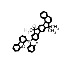 CC1(C)c2cc(N(c3ccccc3F)c3cccc4c3oc3ccccc34)ccc2-c2cc3c(cc21)-c1c(ccc2ccccc12)C3(C)C